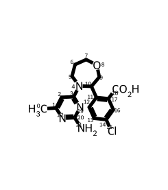 Cc1cc(N2CCCOCC2c2ccc(Cl)cc2C(=O)O)nc(N)n1